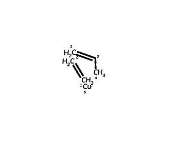 C=C.C=CC.[Cu]